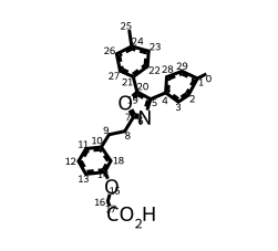 Cc1ccc(-c2nc(CCc3cccc(OCC(=O)O)c3)oc2-c2ccc(C)cc2)cc1